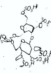 O=S(=O)(O)OC[C@@H]1O[C@H](COS(=O)(=O)O)[C@H](OS(=O)(=O)O)[C@@H]1O[C@@H]1O[C@H](COS(=O)(=O)O)[C@H](OS(=O)(=O)O)[C@H](OS(=O)(=O)O)[C@H]1OS(=O)(=O)O